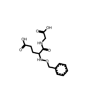 O=C(O)CCC(NOCc1ccccc1)C(=O)NCC(=O)O